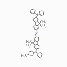 CC1C=CC(N(c2ccc3c(c2)C(C)(C)c2cc(/C=C/c4ccc5c(c4)C(C)(C)c4cc(N(C6=CC=CCC6)c6ccccc6)ccc4-5)ccc2-3)C2C=CC=CC2)CC1